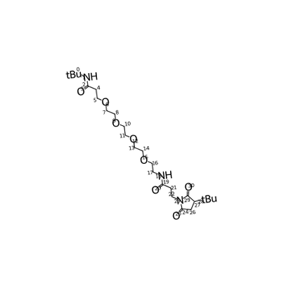 CC(C)(C)NC(=O)CCOCCOCCOCCOCCNC(=O)CCN1C(=O)CC(C(C)(C)C)C1=O